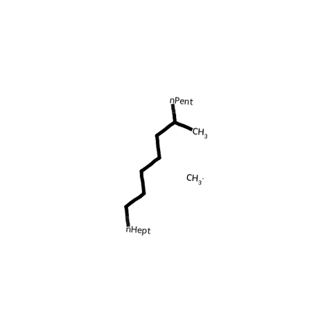 CCCCCCCCCCCCC(C)CCCCC.[CH3]